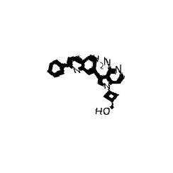 Nc1nccc2c1c(-c1ccc3ccc(-c4ccccc4)nc3c1)cn2[C@H]1C[C@H](CO)C1